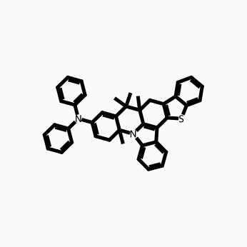 CC12CC=C(N(c3ccccc3)c3ccccc3)C=C1C(C)(C)C1(C)Cc3c(sc4ccccc34)-c3c1n2c1ccccc31